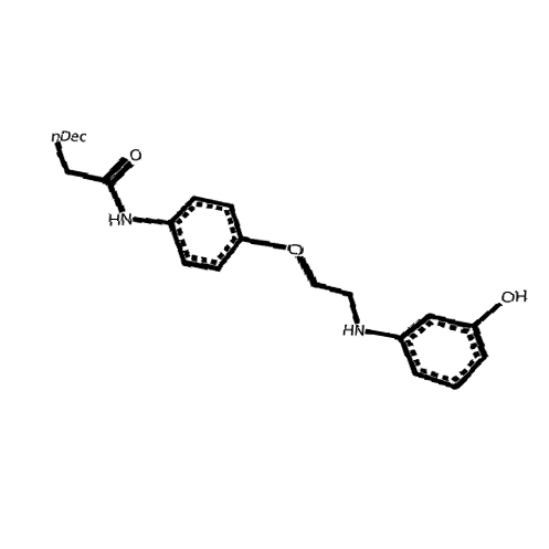 CCCCCCCCCCCC(=O)Nc1ccc(OCCNc2cccc(O)c2)cc1